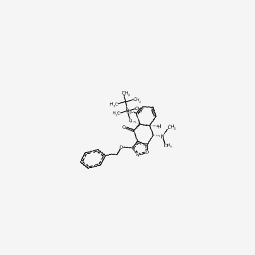 CC1=CC=C[C@H]2[C@H](N(C)C)c3onc(OCc4ccccc4)c3C(=O)[C@@]12O[Si](C)(C)C(C)(C)C